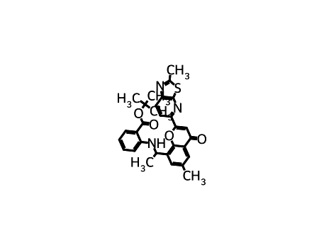 Cc1cc(C(C)Nc2ccccc2C(=O)OC(C)(C)C)c2oc(-c3ccc4nc(C)sc4n3)cc(=O)c2c1